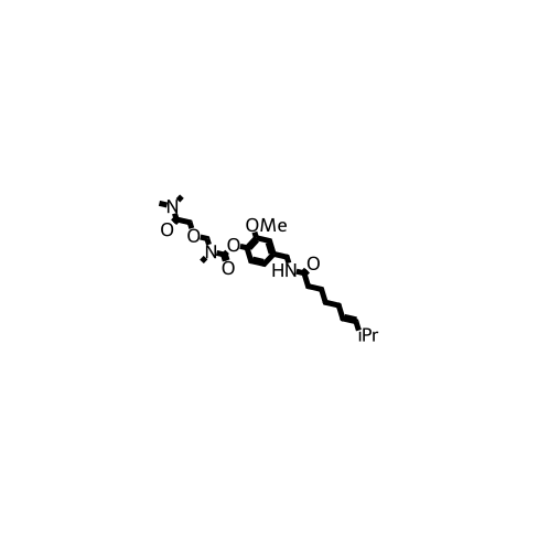 COc1cc(CNC(=O)CCCC/C=C/C(C)C)ccc1OC(=O)N(C)COCC(=O)N(C)C